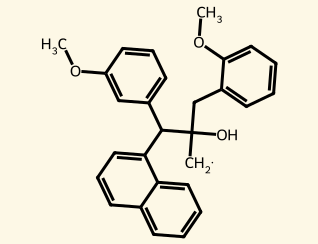 [CH2]C(O)(Cc1ccccc1OC)C(c1cccc(OC)c1)c1cccc2ccccc12